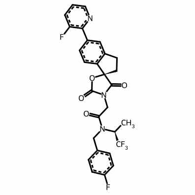 C[C@H](N(Cc1ccc(F)cc1)C(=O)CN1C(=O)O[C@@]2(CCc3cc(-c4ncccc4F)ccc32)C1=O)C(F)(F)F